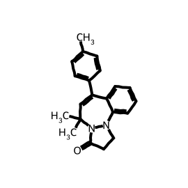 Cc1ccc(C2=CC(C)(C)N3C(=O)CCN3c3ccccc32)cc1